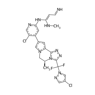 CN/C(=C\C=N)Nc1cc(-c2cc3n(c2)C[C@H](C)n2c-3nnc2C(F)(F)n2cc(Cl)cn2)c(Cl)cn1